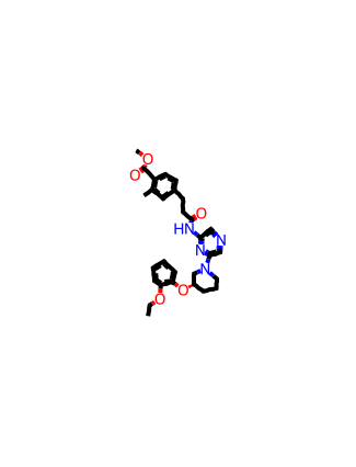 CCOc1ccccc1O[C@@H]1CCCN(c2cncc(NC(=O)CCc3ccc(C(=O)OC)c(C)c3)n2)C1